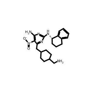 NCC1CCC(Cc2nc(N[C@H]3CCCc4ccccc43)nc(N)c2[N+](=O)[O-])CC1